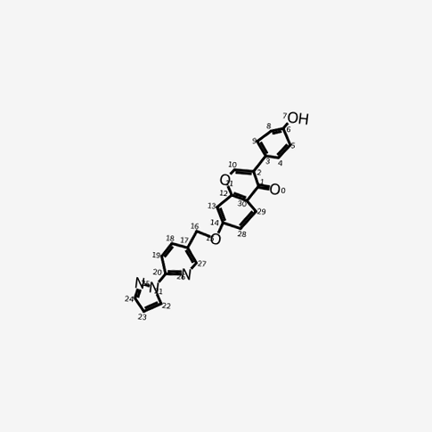 O=c1c(-c2ccc(O)cc2)coc2cc(OCc3ccc(-n4cccn4)nc3)ccc12